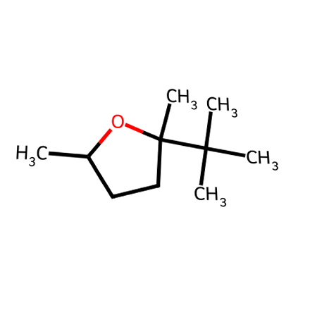 CC1CCC(C)(C(C)(C)C)O1